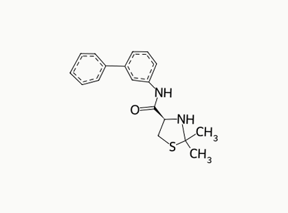 CC1(C)N[C@H](C(=O)Nc2cccc(-c3ccccc3)c2)CS1